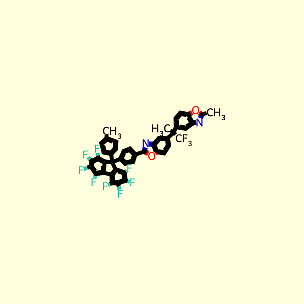 Cc1ccc(C2(c3ccc(-c4nc5cc(C(C)(c6ccc7oc(C)nc7c6)C(F)(F)F)ccc5o4)cc3)c3c(F)c(F)c(F)c(F)c3-c3c(F)c(F)c(F)c(F)c32)cc1